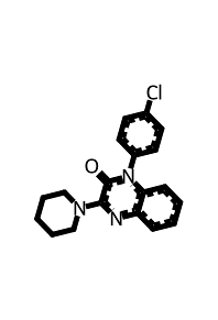 O=c1c(N2CCCCC2)nc2ccccc2n1-c1ccc(Cl)cc1